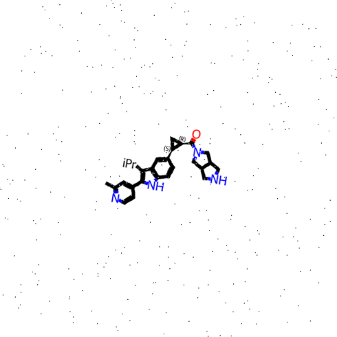 Cc1cc(-c2[nH]c3ccc([C@H]4C[C@H]4C(=O)N4CC5CNCC5C4)cc3c2C(C)C)ccn1